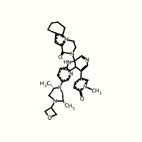 C[C@@H]1CN(c2ccc(NC3(N4CCn5c(cc6c5CCCC6)C4=O)C=NC=C(c4ccc(=O)n(C)c4)C3CO)nc2)[C@@H](C)CN1C1COC1